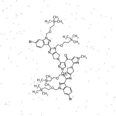 Cn1cc(C(=O)c2cn(C)nc2N2Cc3nc(-c4nn(COCC[Si](C)(C)C)c5cc(Br)ccc45)n(COCC[Si](C)(C)C)c3C2)c(N2Cc3nc(-c4nn(COCC[Si](C)(C)C)c5cc(Br)ccc45)n(COCC[Si](C)(C)C)c3C2)n1